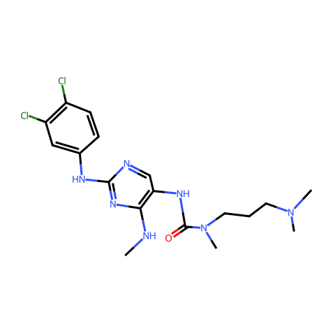 CNc1nc(Nc2ccc(Cl)c(Cl)c2)ncc1NC(=O)N(C)CCCN(C)C